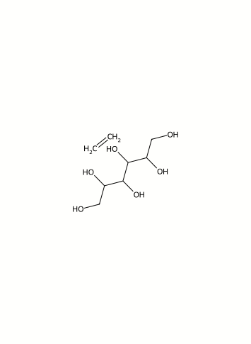 C=C.OCC(O)C(O)C(O)C(O)CO